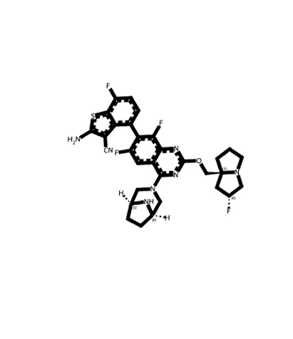 N#Cc1c(N)sc2c(F)ccc(-c3c(F)cc4c(N5C[C@H]6CC[C@@H](C5)N6)nc(OC[C@@]56CCCN5C[C@H](F)C6)nc4c3F)c12